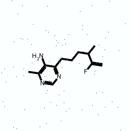 C=C(F)C(C)CCCc1ncnc(C)c1N